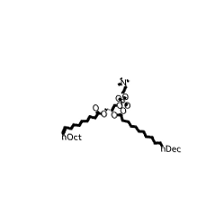 CCCCCCCC/C=C\CCCCCCCC(=O)OC[C@H](COP(=O)([O-])OCC[N+](C)(C)C)OC(=O)CCCCCCCCCCCCCCCCCCCC